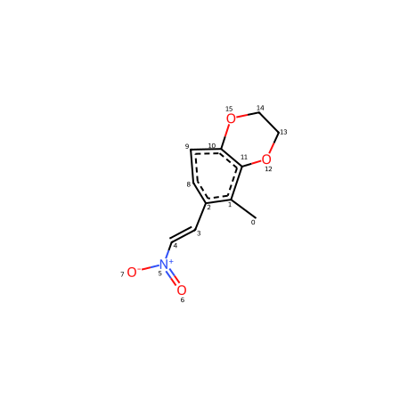 Cc1c(/C=C/[N+](=O)[O-])ccc2c1OCCO2